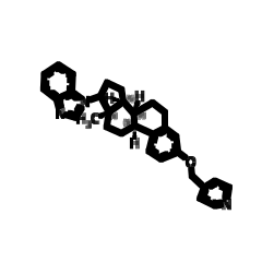 C[C@]12CC[C@@H]3c4ccc(OCc5ccncc5)cc4CC[C@H]3[C@@H]1CCC2n1cnc2ccccc21